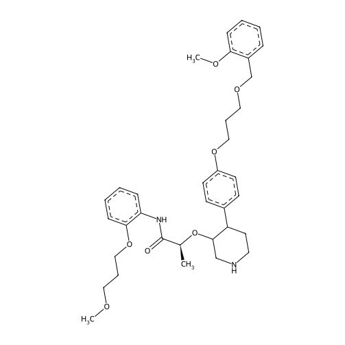 COCCCOc1ccccc1NC(=O)[C@H](C)OC1CNCCC1c1ccc(OCCCOCc2ccccc2OC)cc1